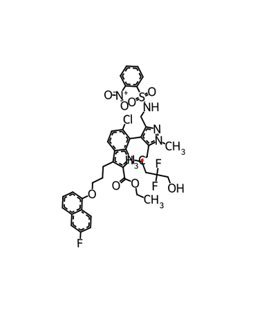 CCOC(=O)c1c(CCCOc2cccc3cc(F)ccc23)c2ccc(Cl)c(-c3c(CNS(=O)(=O)c4ccccc4[N+](=O)[O-])nn(C)c3CC)c2n1CCC(F)(F)CO